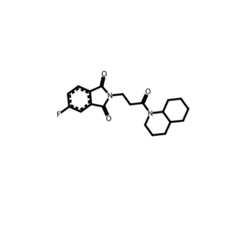 O=C1c2ccc(F)cc2C(=O)N1CCC(=O)N1CCCC2CCCCC21